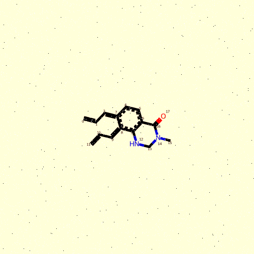 C=C/C=c1/ccc2c(/c1=C/C=C)NCN(C)C2=O